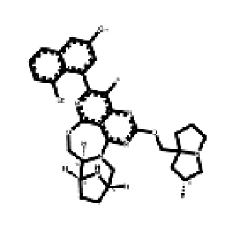 CCc1cccc2cc(O)cc(-c3nc4c5c(nc(OCC67CCCN6C[C@H](F)C7)nc5c3F)N3C[C@@H]5CC[C@@H](N5)[C@H]3CO4)c12